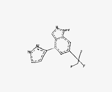 FC(F)(F)c1cc(-c2cc[nH]n2)c2cn[nH]c2c1